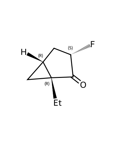 CC[C@@]12C[C@@H]1C[C@H](F)C2=O